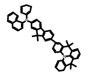 CC1(C)C2=C(C=CCC2)N2c3ccc(-c4ccc5c(c4)C(C)(C)c4cc(N(C6=CCCC=C6)c6cccc7ccccc67)ccc4-5)cc3C(C)(C)c3cccc1c32